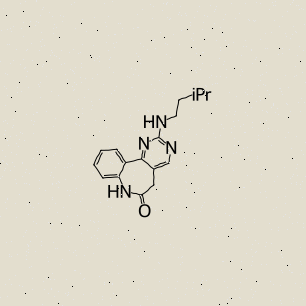 CC(C)CCNc1ncc2c(n1)-c1ccccc1NC(=O)C2